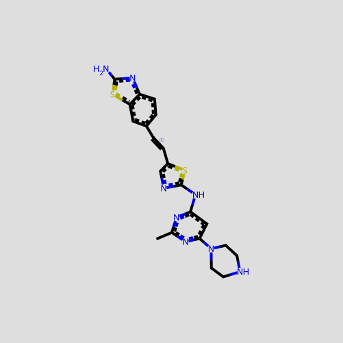 Cc1nc(Nc2ncc(/C=C/c3ccc4nc(N)sc4c3)s2)cc(N2CCNCC2)n1